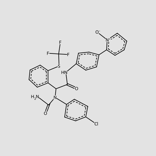 NC(=O)N(c1ccc(Cl)cc1)C(C(=O)Nc1ccc(-c2cccc[n+]2[O-])cc1)c1ccccc1SC(F)(F)F